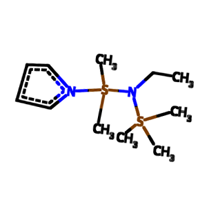 CCN(S(C)(C)C)S(C)(C)n1cccc1